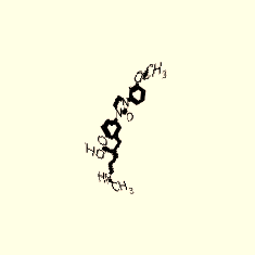 CNCCCC(Cc1cccc(N2CCN(c3cccc(OC)c3)C2=O)c1)C(=O)O